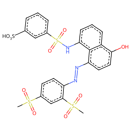 CS(=O)(=O)c1ccc(/N=N/c2ccc(O)c3cccc(NS(=O)(=O)c4cccc(S(=O)(=O)O)c4)c23)c(S(C)(=O)=O)c1